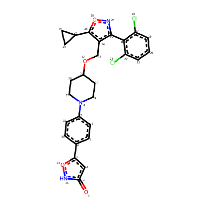 O=c1cc(-c2ccc(N3CCC(OCc4c(-c5c(Cl)cccc5Cl)noc4C4CC4)CC3)cc2)o[nH]1